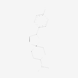 CN(C)C1CCC2(CC1)OCC(c1ccc(Cl)cc1)O2